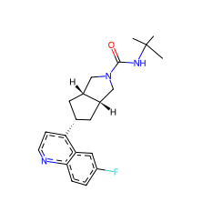 CC(C)(C)NC(=O)N1C[C@H]2C[C@@H](c3ccnc4ccc(F)cc34)C[C@H]2C1